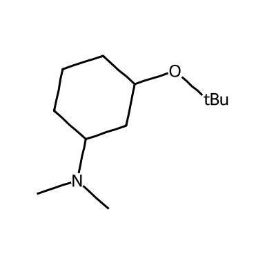 CN(C)C1CCCC(OC(C)(C)C)C1